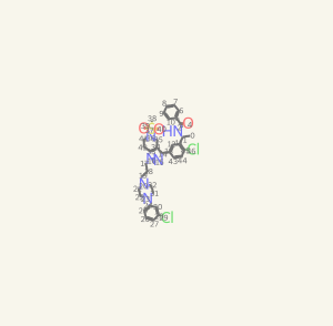 CC(NC(=O)c1ccccc1)c1cc(-c2nn(CCCN3CCN(c4cccc(Cl)c4)CC3)c3c2CN(S(C)(=O)=O)CC3)ccc1Cl